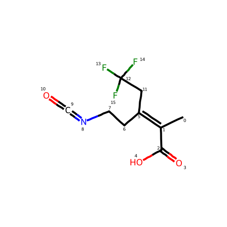 CC(C(=O)O)=C(CCN=C=O)CC(F)(F)F